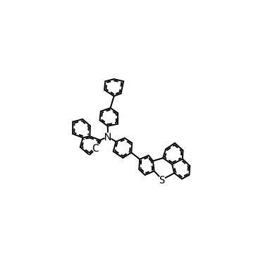 c1ccc(-c2ccc(N(c3ccc(-c4ccc5c(c4)-c4cccc6cccc(c46)S5)cc3)c3cccc4ccccc34)cc2)cc1